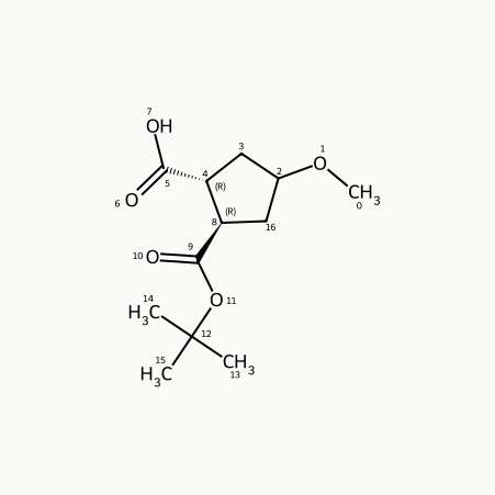 COC1C[C@@H](C(=O)O)[C@H](C(=O)OC(C)(C)C)C1